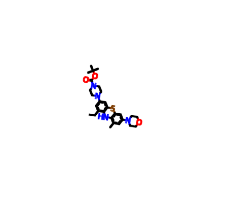 CCc1cc(N2CCN(C(=O)OC(C)(C)C)CC2)cc2c1Nc1c(C)cc(N3CCOCC3)cc1S2